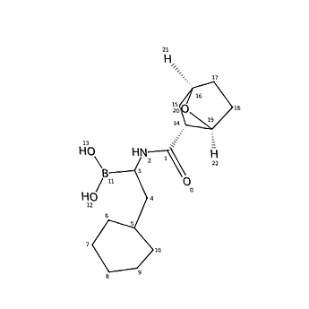 O=C(NC(CC1CCCCC1)B(O)O)[C@@H]1C[C@H]2CC[C@@H]1O2